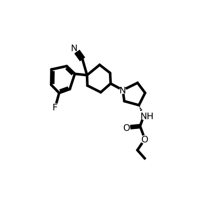 CCOC(=O)N[C@H]1CCN(C2CCC(C#N)(c3cccc(F)c3)CC2)C1